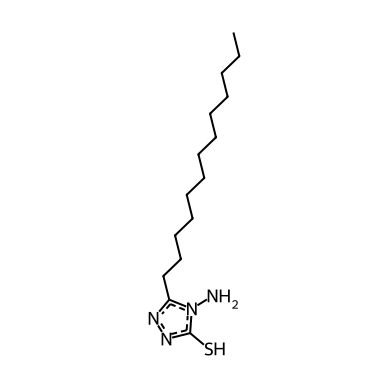 CCCCCCCCCCCCCc1nnc(S)n1N